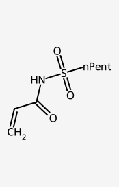 C=CC(=O)NS(=O)(=O)CCCCC